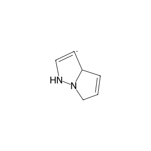 [C]1=CNN2CC=CC12